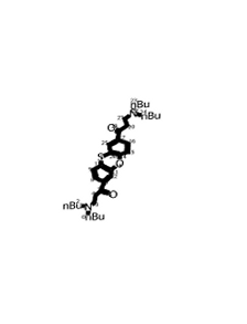 CCCCN(CCCC)CCC(=O)c1ccc2c(c1)Oc1ccc(C(=O)CCN(CCCC)CCCC)cc1S2